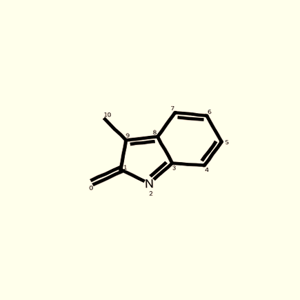 C=C1N=c2ccccc2=C1C